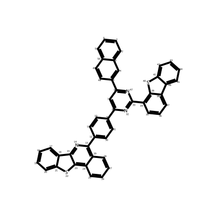 c1ccc2cc(-c3cc(-c4ccc(-c5nc6c7ccccc7sc6c6ccccc56)cc4)nc(-c4cccc5c4sc4ccccc45)n3)ccc2c1